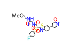 COCCNC(=O)CNC(=O)C(c1nc2ccc(-c3ccn(C)c(=O)c3)cc2s1)S(=O)(=O)c1ccc(F)cc1